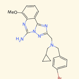 COc1cccc2c1nc(N)n1nc(CN(Cc3ccc(Br)cc3)CC3CC3)nc21